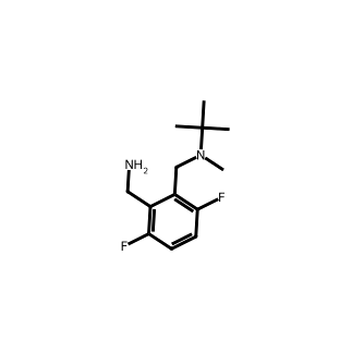 CN(Cc1c(F)ccc(F)c1CN)C(C)(C)C